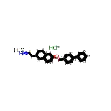 CNCCC1CCc2cc(OCc3ccc(-c4ccccc4)cc3)ccc2C1.Cl